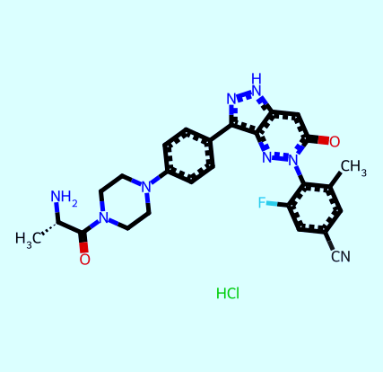 Cc1cc(C#N)cc(F)c1-n1nc2c(-c3ccc(N4CCN(C(=O)[C@H](C)N)CC4)cc3)n[nH]c2cc1=O.Cl